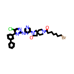 O=C(CCCCCCBr)N1CCC2(CC1)CC(=O)N(c1cncc(Nc3ncc(Cl)c(-c4cccc(-c5ccccc5)c4)n3)c1)C2